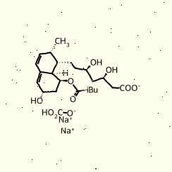 CC[C@H](C)C(=O)O[C@H]1C[C@H](O)C=C2C=C[C@H](C)[C@H](CC[C@@H](O)C[C@@H](O)CC(=O)[O-])[C@H]21.O=C([O-])O.[Na+].[Na+]